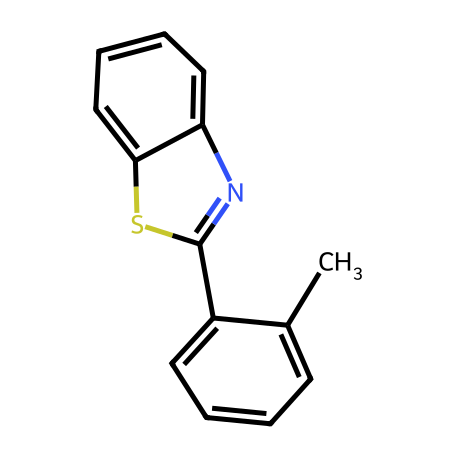 Cc1ccccc1-c1nc2ccccc2s1